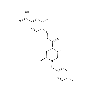 C[C@@H]1CN(Cc2ccc(F)cc2)[C@@H](C)CN1C(=O)COc1c(I)cc(C(=O)O)cc1I